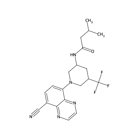 CC(C)CC(=O)NC1CC(C(F)(F)F)CN(c2ccc(C#N)c3nccnc23)C1